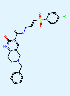 O=C(NC/C=C/S(=O)(=O)c1ccc(Cl)cc1)c1cc2c([nH]c1=O)CCN(Cc1ccccc1)C2